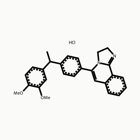 COc1ccc(C(C)c2ccc(C3=Cc4ccccc4C4=NCCN34)cc2)cc1OC.Cl